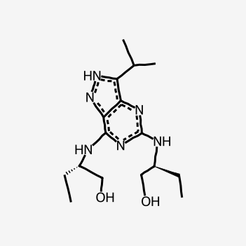 CC[C@@H](CO)Nc1nc(N[C@@H](CC)CO)c2n[nH]c(C(C)C)c2n1